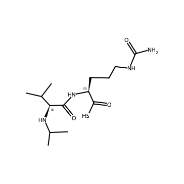 CC(C)N[C@H](C(=O)N[C@@H](CCCNC(N)=O)C(=O)S)C(C)C